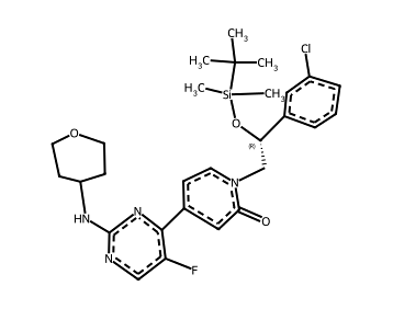 CC(C)(C)[Si](C)(C)O[C@@H](Cn1ccc(-c2nc(NC3CCOCC3)ncc2F)cc1=O)c1cccc(Cl)c1